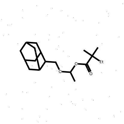 CCC(C)(C)C(=O)OC(C)OCC1C2CC3CC(C2)CC1C3